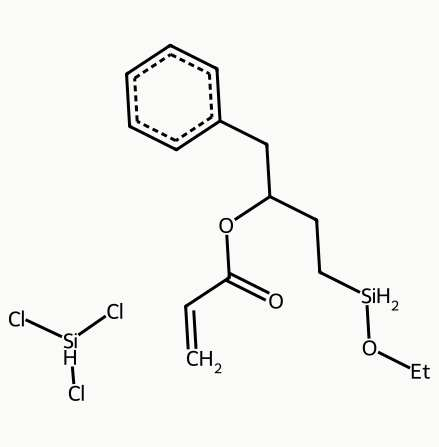 C=CC(=O)OC(CC[SiH2]OCC)Cc1ccccc1.Cl[SiH](Cl)Cl